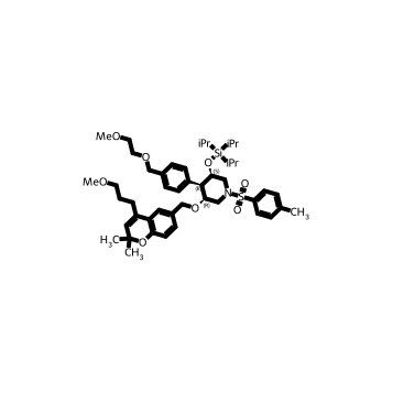 COCCCC1=CC(C)(C)Oc2ccc(CO[C@H]3CN(S(=O)(=O)c4ccc(C)cc4)C[C@@H](O[Si](C(C)C)(C(C)C)C(C)C)[C@@H]3c3ccc(COCCOC)cc3)cc21